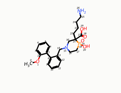 COc1ccccc1-c1ccccc1CN1CCP(=O)(O)C(CCCCN)(C(=O)O)C1